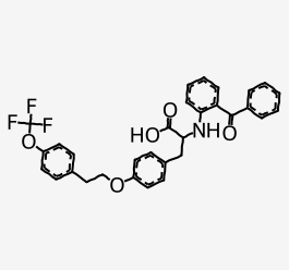 O=C(c1ccccc1)c1ccccc1NC(Cc1ccc(OCCc2ccc(OC(F)(F)F)cc2)cc1)C(=O)O